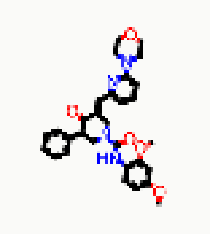 COc1ccc(NC(=O)N2CC(=Cc3cccc(N4CCOCC4)n3)C(=O)C(c3ccccc3)C2)c(OC)c1